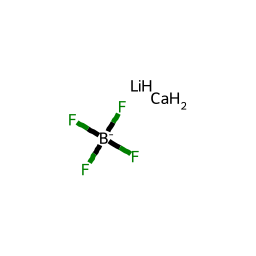 F[B-](F)(F)F.[CaH2].[LiH]